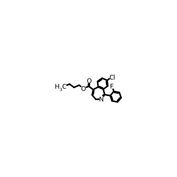 CCCCOC(=O)C1=CCN=C(c2ccccc2F)c2cc(Cl)ccc21